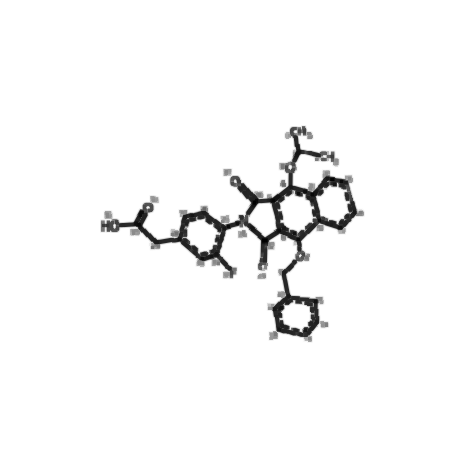 CC(C)Oc1c2c(c(OCc3ccccc3)c3ccccc13)C(=O)N(c1ccc(CC(=O)O)cc1F)C2=O